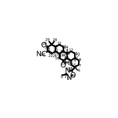 Cc1noc([C@@]2(C)CC[C@]3(C)CC[C@]4(C)[C@H](C(=O)C=C5[C@@]6(C)C=C(C#N)C(=O)C(C)(C)C6CC[C@]54C)C3C2)n1